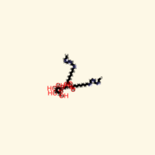 CC/C=C\C/C=C\C/C=C\CCCCCCCC(=O)OC[C@H](CO[C@@H]1O[C@H](CO)[C@@H](O)[C@H](O)[C@H]1O)OC(=O)CCCCCCC/C=C\C/C=C\C/C=C\CC